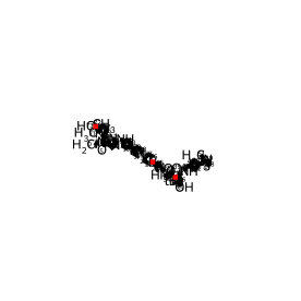 C=CCn1c(=O)c2cnc(Nc3ccc(N4CCN(C5CCN(C6CN(C(=O)N[C@H](C(=O)N7CC(O)CC7C(=O)NCc7ccc(-c8scnc8C)cc7)C(C)(C)C)C6)CC5)CC4)cc3)nc2n1-c1cccc(C(C)(C)O)n1